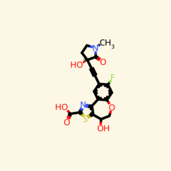 CN1CC[C@@](O)(C#Cc2cc3c(cc2F)OCC(O)c2sc(C(=O)O)nc2-3)C1=O